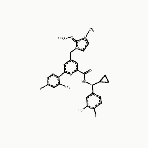 Cc1cc([C@@H](NC(=O)c2cc(Cn3ccn(C)/c3=N/C(=O)O)cc(-c3ccc(F)cc3C(F)(F)F)n2)C2CC2)ccc1F